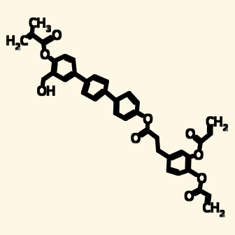 C=CC(=O)Oc1ccc(CCC(=O)Oc2ccc(-c3ccc(-c4ccc(OC(=O)C(=C)C)c(CO)c4)cc3)cc2)cc1OC(=O)C=C